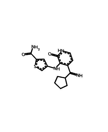 N=C(c1cc[nH]c(=O)c1Nc1csc(C(N)=O)c1)C1CCCC1